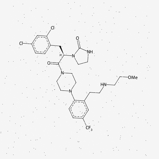 COCCNCCc1cc(C(F)(F)F)ccc1N1CCN(C(=O)[C@@H](Cc2ccc(Cl)cc2Cl)N2CCNC2=O)CC1